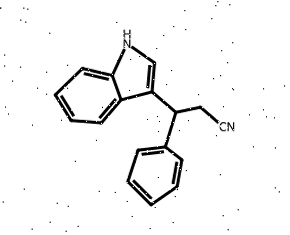 N#CCC(c1ccccc1)c1c[nH]c2ccccc12